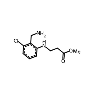 COC(=O)CCNc1cccc(Cl)c1CN